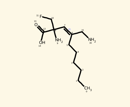 CCCCCC/C(=C\C(N)(CF)C(=O)O)CN